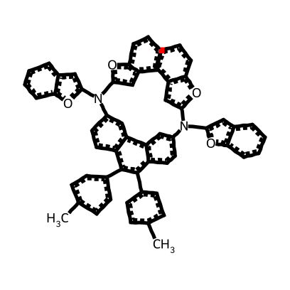 Cc1ccc(-c2c(-c3ccc(C)cc3)c3ccc(N(c4cc5ccccc5o4)c4cc5ccccc5o4)cc3c3cc(N(c4cc5ccccc5o4)c4cc5ccccc5o4)ccc23)cc1